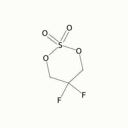 O=S1(=O)OCC(F)(F)CO1